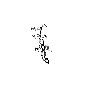 CCCCc1c(C)c(OCc2ccccc2)c(C)c(C)c1OCC/C=C(\C)CCC=C(C)C